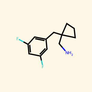 NCC1(Cc2cc(F)cc(F)c2)CCC1